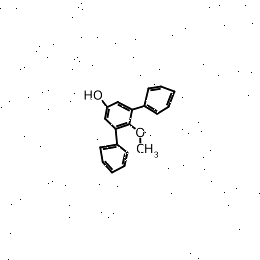 COc1c(-c2ccccc2)cc(O)cc1-c1ccccc1